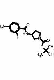 CC(C)(C)OC(=O)N1CCC(NC(=O)c2ccc(N)cc2F)C1